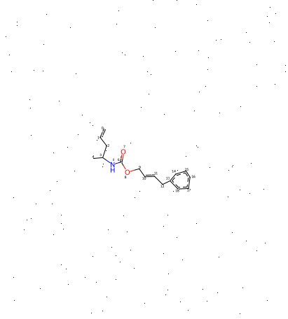 C=CCC(C)NC(=O)OCC=CCc1ccccc1